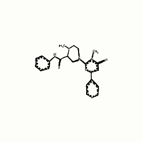 CN1CCN(c2nc(-c3ccncc3)cc(=O)n2C)CC1C(=O)Nc1ccccc1